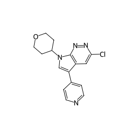 Clc1cc2c(-c3ccncc3)cn(C3CCOCC3)c2nn1